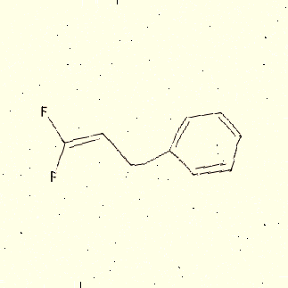 FC(F)=CCc1ccccc1